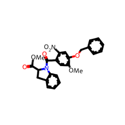 COC(=O)C1Cc2ccccc2N1C(=O)c1cc(OC)c(OCc2ccccc2)cc1[N+](=O)[O-]